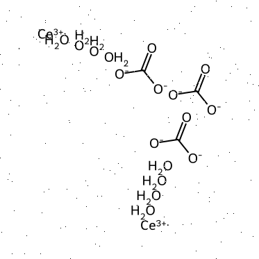 O.O.O.O.O.O.O.O.O=C([O-])[O-].O=C([O-])[O-].O=C([O-])[O-].[Ce+3].[Ce+3]